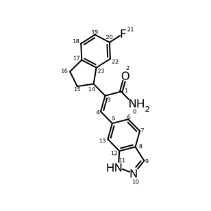 NC(=O)C(=Cc1ccc2cn[nH]c2c1)C1CCc2ccc(F)cc21